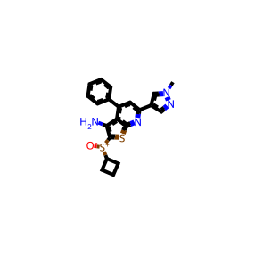 Cn1cc(-c2cc(-c3ccccc3)c3c(N)c([S+]([O-])C4CCC4)sc3n2)cn1